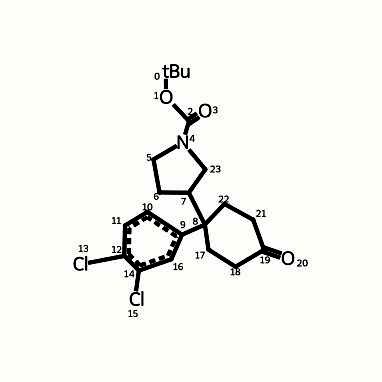 CC(C)(C)OC(=O)N1CCC(C2(c3ccc(Cl)c(Cl)c3)CCC(=O)CC2)C1